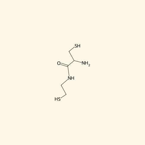 NC(CS)C(=O)NCCS